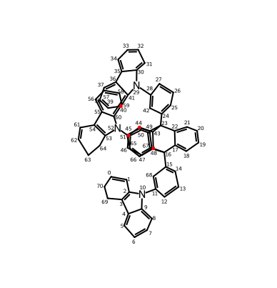 C1=Cc2c(c3ccccc3n2-c2cccc(C34c5ccccc5C(c5cccc(-n6c7ccccc7c7ccccc76)c5)(c5ccccc53)c3cc(-n5c6c(c7ccccc75)C=CCC6)ccc34)c2)CC1